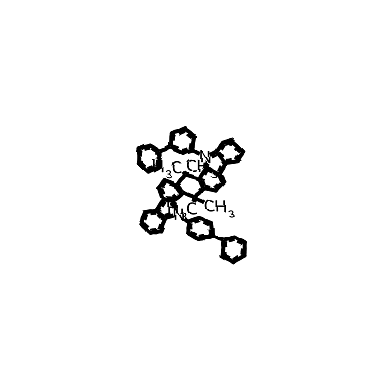 CC1(C)c2ccc3c4ccccc4n(-c4cccc(-c5ccccc5)c4)c3c2C(C)(C)c2ccc3c4ccccc4n(-c4ccc(-c5ccccc5)cc4)c3c21